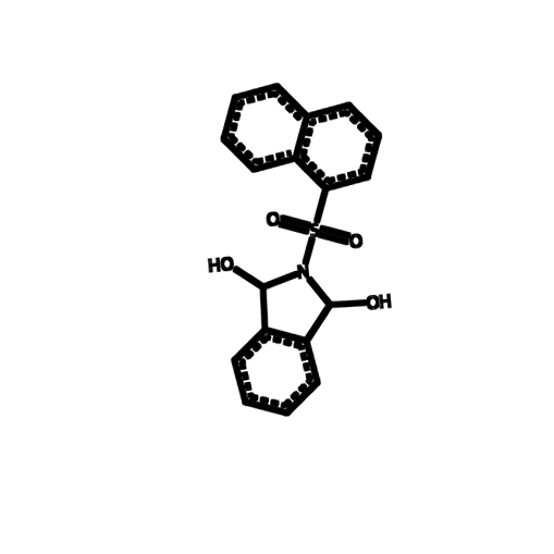 O=S(=O)(c1cccc2ccccc12)N1C(O)c2ccccc2C1O